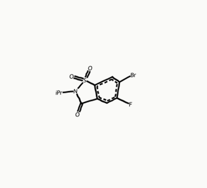 CC(C)N1C(=O)c2cc(F)c(Br)cc2S1(=O)=O